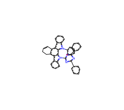 C1=Cc2c(c3c4ccccc4n(-c4nc(-c5ccccc5)nc(-c5ccccc5)n4)c3c3c2c2ccccc2n3-c2ccccc2)CC1